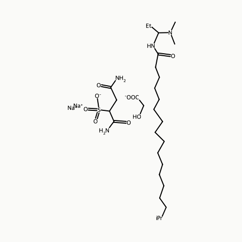 CCC(NC(=O)CCCCCCCCCCCCCCC(C)C)N(C)C.NC(=O)CC(C(N)=O)S(=O)(=O)[O-].O=C([O-])CO.[Na+].[Na+]